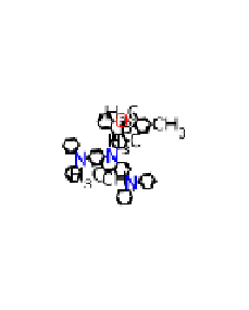 Cc1cc(C)c(B2Oc3ccccc3-c3cc(N4c5ccc(N(c6ccccc6)c6ccccc6)cc5C(C)(C)c5cc(N(c6ccccc6)c6ccccc6)ccc54)ccc32)c(C)c1